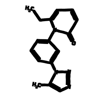 CCc1cccc(=O)n1-c1cccc(-n2nncc2C)c1